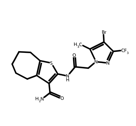 Cc1c(Br)c(C(F)(F)F)nn1CC(=O)Nc1sc2c(c1C(N)=O)CCCCC2